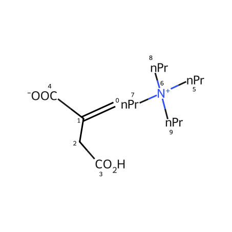 C=C(CC(=O)O)C(=O)[O-].CCC[N+](CCC)(CCC)CCC